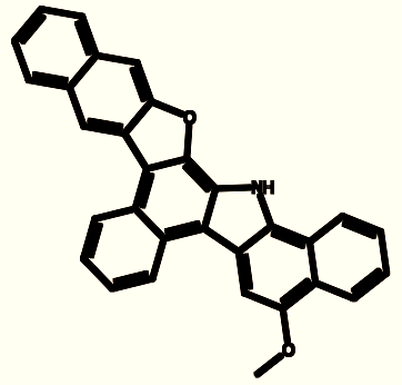 COc1cc2c([nH]c3c4oc5cc6ccccc6cc5c4c4ccccc4c23)c2ccccc12